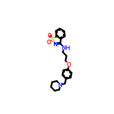 O=S1(=O)N=C(NCCCOc2ccc(CN3CCCCC3)cc2)c2ccccc21